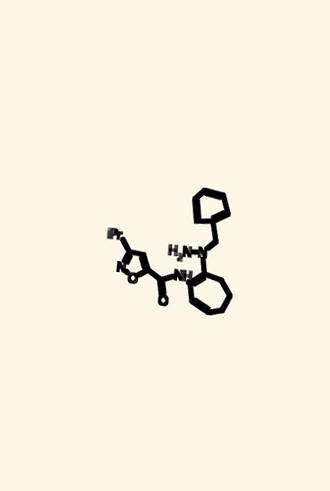 CC(C)c1cc(C(=O)NC2=C(N(N)Cc3ccccc3)CCCC=C2)on1